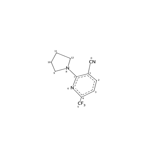 N#Cc1ccc(C(F)(F)F)nc1N1CCCC1